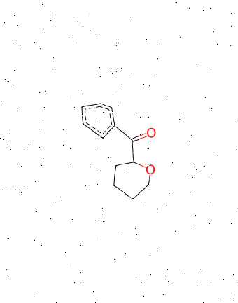 O=C(c1ccccc1)C1CCCCO1